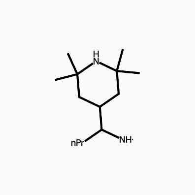 CCCC([NH])C1CC(C)(C)NC(C)(C)C1